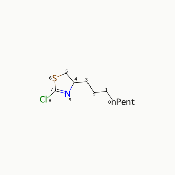 CCCCCCCCC1CSC(Cl)=N1